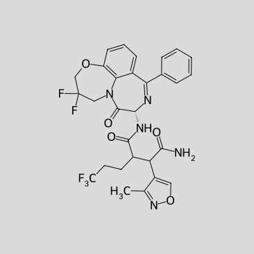 Cc1nocc1C(C(N)=O)C(CCC(F)(F)F)C(=O)N[C@H]1N=C(c2ccccc2)c2cccc3c2N(CC(F)(F)CO3)C1=O